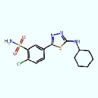 NS(=O)(=O)c1cc(-c2nnc(NC3CCCCC3)s2)ccc1Cl